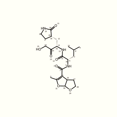 CC1=C(C(=O)N[C@@H](CC(C)C)C(=O)N[C@@H](C[C@@H]2CCNC2=O)C(=O)CO)C2CCOC2O1